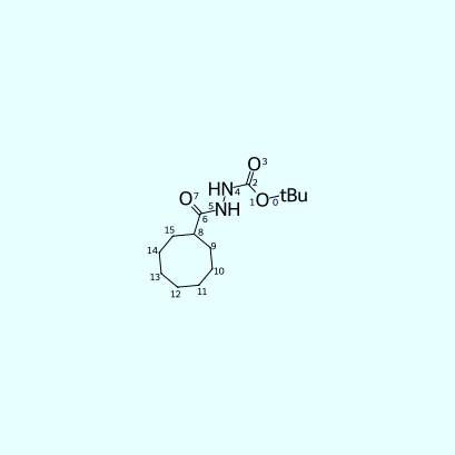 CC(C)(C)OC(=O)NNC(=O)C1CCCCCCC1